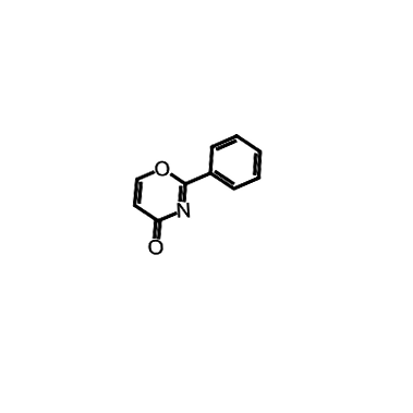 O=c1ccoc(-c2ccccc2)n1